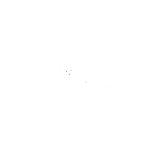 CC(C)(C)[C@H](NC(=O)OC(C)(C)C(F)(F)F)C(=O)N1CCC[C@H]1C(N)=O